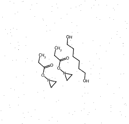 CCC(=O)ON1CC1.CCC(=O)ON1CC1.OCCCCCCO